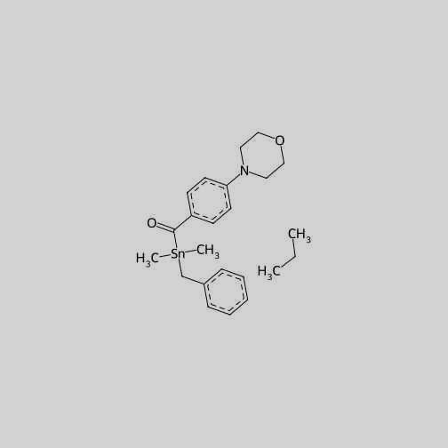 CCC.[CH3][Sn]([CH3])([CH2]c1ccccc1)[C](=O)c1ccc(N2CCOCC2)cc1